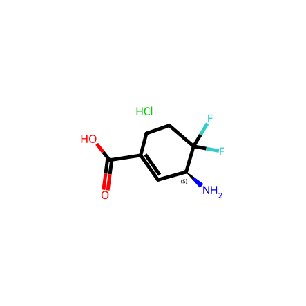 Cl.N[C@H]1C=C(C(=O)O)CCC1(F)F